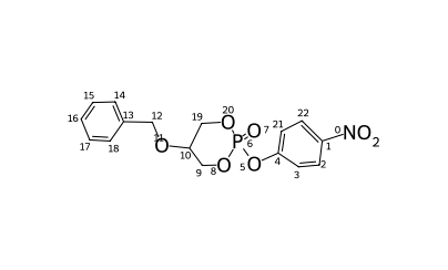 O=[N+]([O-])c1ccc(OP2(=O)OCC(OCc3ccccc3)CO2)cc1